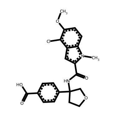 COc1ccc2c(cc(C(=O)NC3(c4ccc(C(=O)O)cc4)CCOC3)n2C)c1Cl